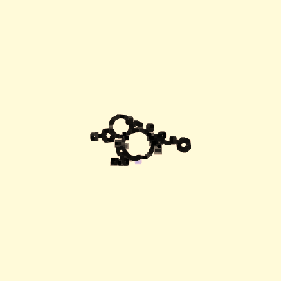 CO[C@H]1/C=C/CCC[S@@](=O)(NC(=O)COc2ccccc2)=NC(=O)c2ccc3c(c2)N(Cc2ccc(Cl)cc2CCCCO3)C[C@@H]2CC[C@H]21